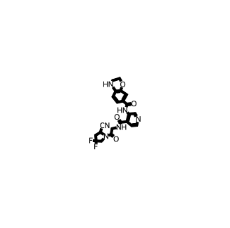 N#CC1CC(F)(F)CN1C(=O)CNC(=O)c1ccncc1NC(=O)c1ccc2c(c1)OCCN2